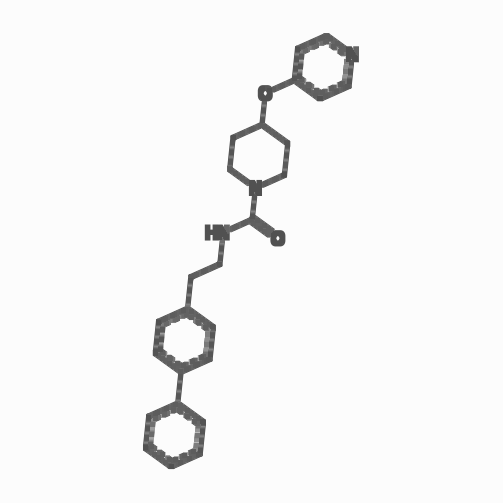 O=C(NCCc1ccc(-c2ccccc2)cc1)N1CCC(Oc2ccncc2)CC1